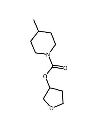 CC1CCN(C(=O)OC2CCOC2)CC1